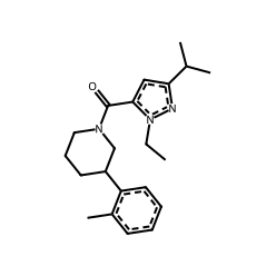 CCn1nc(C(C)C)cc1C(=O)N1CCCC(c2ccccc2C)C1